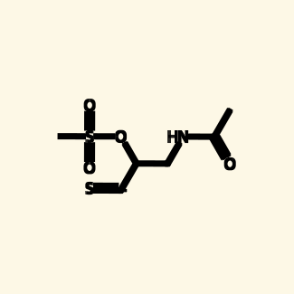 CC(=O)NCC([C]=S)OS(C)(=O)=O